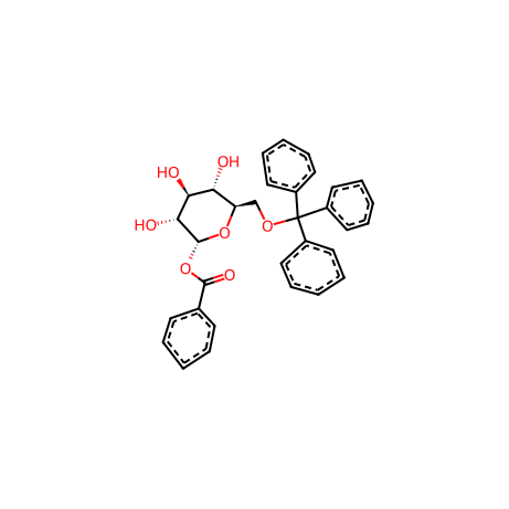 O=C(O[C@H]1O[C@H](COC(c2ccccc2)(c2ccccc2)c2ccccc2)[C@@H](O)[C@H](O)[C@H]1O)c1ccccc1